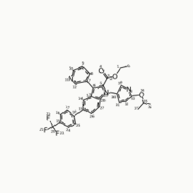 CCOC(=O)c1c(-c2cccnc2)c2cc(-c3ccc(C(F)(F)F)cc3)ccc2n1-c1ccc(OC(C)C)nc1